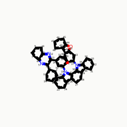 c1ccc(-c2nc3ccccc3nc2-c2cccc(-n3c4ccccc4c4ccc5c6ccccc6n(-c6ccc7c(c6)oc6ccccc67)c5c43)c2)cc1